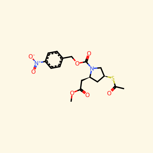 COC(=O)C[C@@H]1C[C@H](SC(C)=O)CN1C(=O)OCc1ccc([N+](=O)[O-])cc1